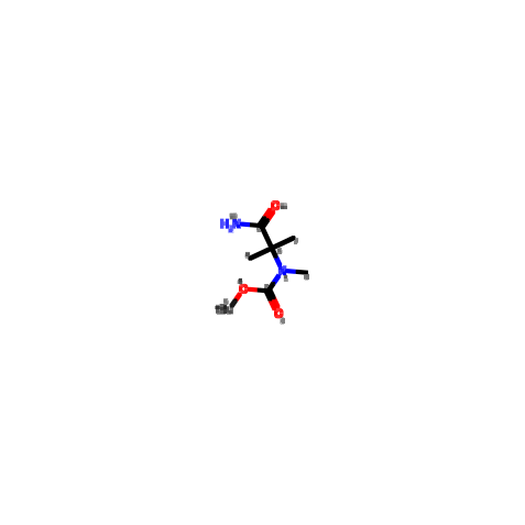 CN(C(=O)OC(C)(C)C)C(C)(C)C(N)=O